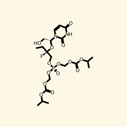 CC[C@@](F)(COP(=O)(OCOC(=O)OC(C)C)OCOC(=O)OC(C)C)O[C@H](CO)n1ccc(=O)[nH]c1=O